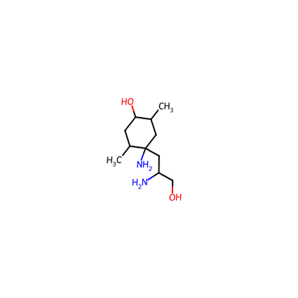 CC1CC(N)(CC(N)CO)C(C)CC1O